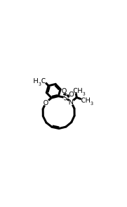 Cc1ccc2c(c1)OCCCC=CCCCCN(C(C)C)S2(=O)=O